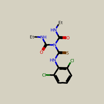 CCNC(=O)N(C(=O)NCC)C(=S)Nc1c(Cl)cccc1Cl